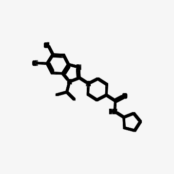 CC(C)n1c(N2CCC(C(=O)NC3CCCC3)CC2)nc2cc(Cl)c(Cl)cc21